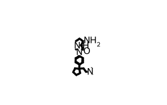 CN(C)CCC1(c2ccc(N3CN4CC[C@@H](N)[C@H]4C3=O)cc2)CCCC1